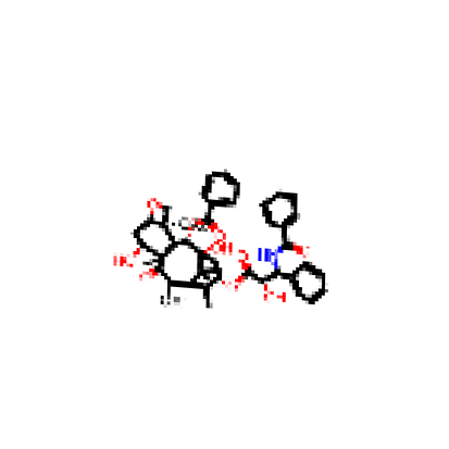 CC(=O)O[C@H]1C(=O)[C@@]2(C)C([C@H](OC(=O)c3ccccc3)[C@]3(O)C[C@H](OC(=O)[C@H](O)C(NC(=O)c4ccccc4)c4ccccc4)C(C)=C1C3(C)C)[C@]1(OC(C)=O)COC1C[C@@H]2O